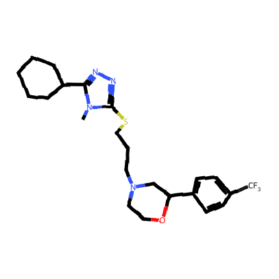 Cn1c(SCCCN2CCOC(c3ccc(C(F)(F)F)cc3)C2)nnc1C1CCCCC1